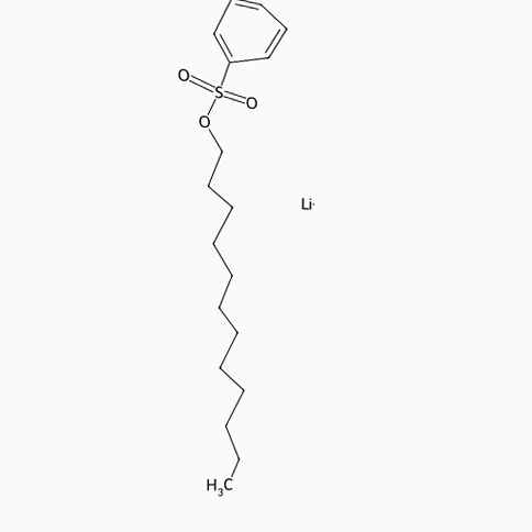 CCCCCCCCCCCCOS(=O)(=O)c1ccccc1.[Li]